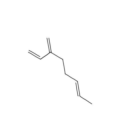 C=CC(=C)CC/C=[C]/C